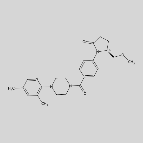 COC[C@@H]1CCC(=O)N1c1ccc(C(=O)N2CCN(c3ncc(C)cc3C)CC2)cc1